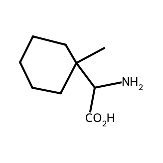 CC1(C(N)C(=O)O)CCCCC1